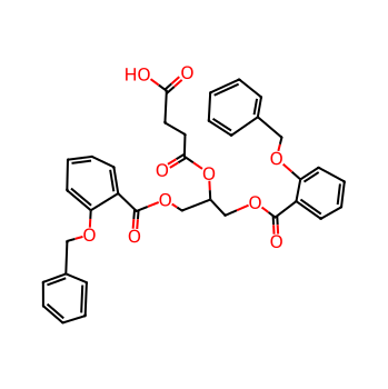 O=C(O)CCC(=O)OC(COC(=O)c1ccccc1OCc1ccccc1)COC(=O)c1ccccc1OCc1ccccc1